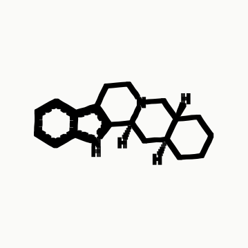 c1ccc2c3c([nH]c2c1)[C@@H]1C[C@@H]2CCCC[C@H]2CN1CC3